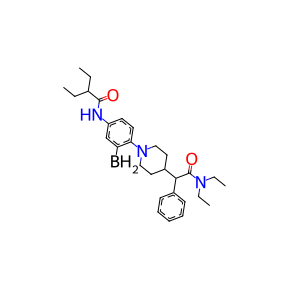 Bc1cc(NC(=O)C(CC)CC)ccc1N1CCC(C(C(=O)N(CC)CC)c2ccccc2)CC1